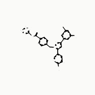 O=C(Nc1nn[nH]n1)c1ccc(Cn2nc(-c3cc(Cl)cc(Cl)c3)cc2-c2ccc(C(F)(F)F)nc2)cc1